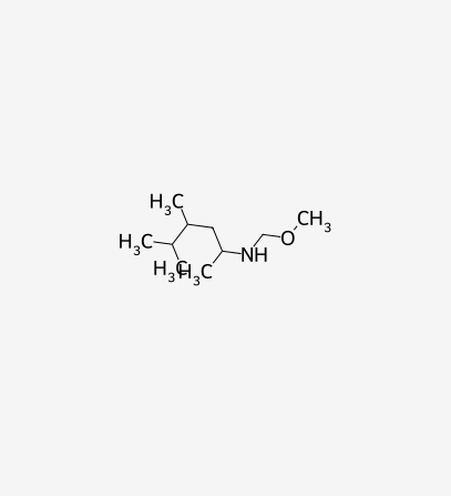 COCNC(C)CC(C)C(C)C